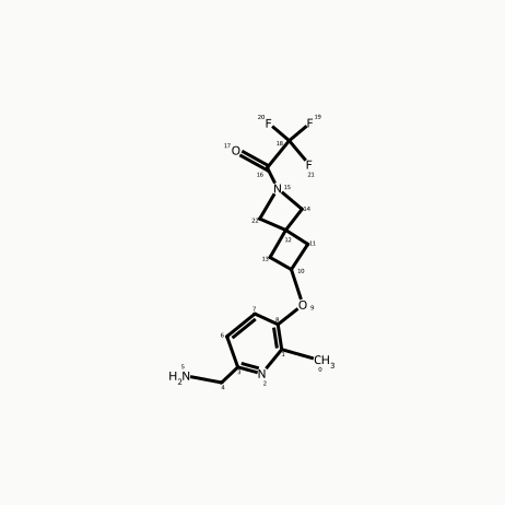 Cc1nc(CN)ccc1OC1CC2(C1)CN(C(=O)C(F)(F)F)C2